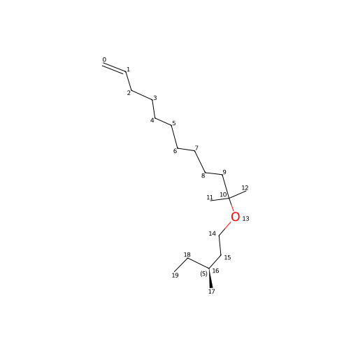 C=CCCCCCCCCC(C)(C)OCC[C@@H](C)CC